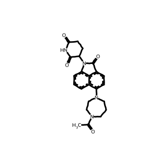 CC(=O)N1CCCN(c2ccc3c4c(cccc24)N(C2CCC(=O)NC2=O)C3=O)CC1